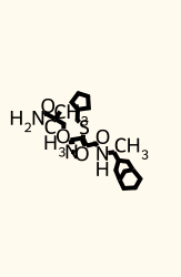 CC(NC(=O)c1onc(OCC(C)(C)C(N)=O)c1SCC1CCCC1)C1CC2CCCC(C2)C1